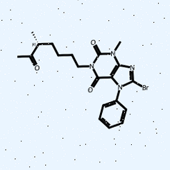 CC(=O)[C@H](C)CCCCn1c(=O)c2c(nc(Br)n2-c2ccccc2)n(C)c1=O